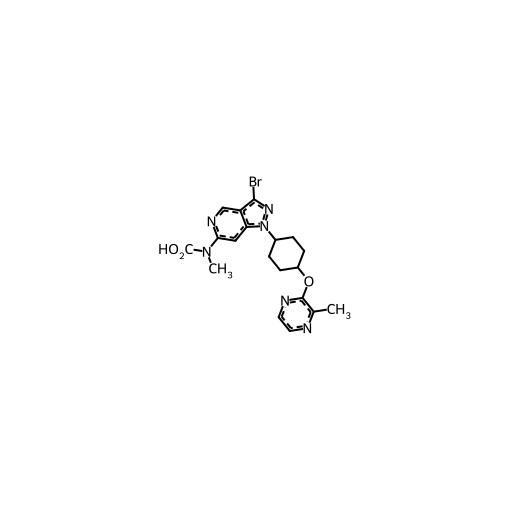 Cc1nccnc1OC1CCC(n2nc(Br)c3cnc(N(C)C(=O)O)cc32)CC1